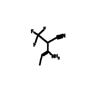 C/C=C(\N)C(C#N)C(F)(F)F